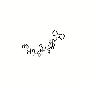 C=C([C@H]1COC(C)(C)O1)C(C)(C)O[C@@H](C)[C@@H](O)CNC(=O)CC[C@H](NC(=O)OCC1c2ccccc2-c2ccccc21)C(=O)O